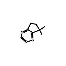 CC1(C)CCc2nccnc21